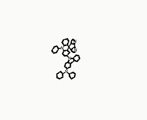 c1ccc(N(c2ccccc2)c2ccc3c(c2)c2ccccc2n3-c2ccc3c(c2)C2(c4ccccc4N3c3ccccc3)c3cccnc3-c3ncccc32)cc1